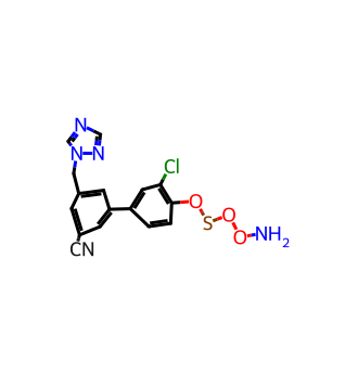 N#Cc1cc(Cn2cncn2)cc(-c2ccc(OSOON)c(Cl)c2)c1